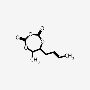 CC=CCC1OC(=O)OC(=O)OC1C